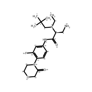 CCN(CC(C)(C)C)[C@@H](CN)C(=O)Nc1ccc(N2CCOCC2=O)c(F)c1